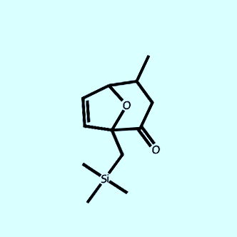 CC1CC(=O)C2(C[Si](C)(C)C)C=CC1O2